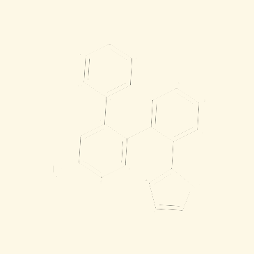 S.c1ccc(-c2ccccc2-c2ccccc2-c2cccs2)cc1